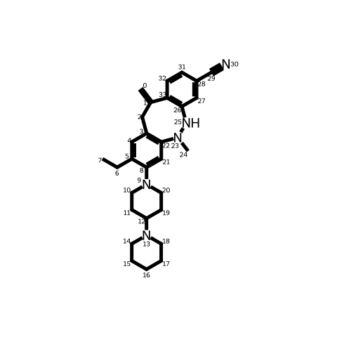 C=C1Cc2cc(CC)c(N3CCC(N4CCCCC4)CC3)cc2N(C)Nc2cc(C#N)ccc21